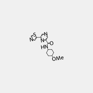 COC1CCC(NC(=O)c2cncc(-c3cncs3)n2)CC1